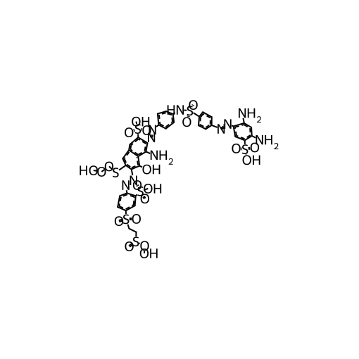 Nc1cc(N)c(S(=O)(=O)O)cc1/N=N/c1ccc(S(=O)(=O)Nc2ccc(/N=N/c3c(S(=O)(=O)O)cc4cc(SOOO)c(/N=N/c5ccc(S(=O)(=O)CCS(=O)OO)cc5S(=O)(=O)O)c(O)c4c3N)cc2)cc1